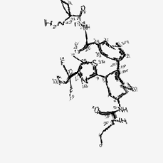 CCNC(=O)Nc1cc(-c2nc(C(F)(F)F)c(C)s2)c(-c2cncc(C(=O)NNC(=O)C3(N)CC3)c2)cn1